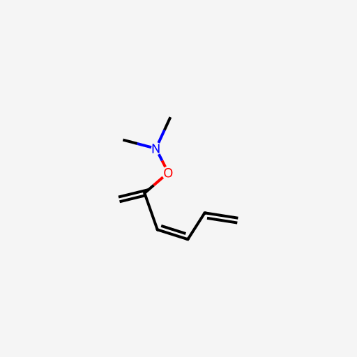 C=C/C=C\C(=C)ON(C)C